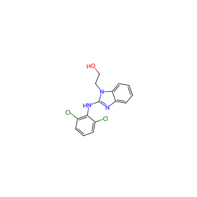 OCCn1c(Nc2c(Cl)cccc2Cl)nc2ccccc21